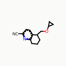 N#Cc1ccc2c(n1)CCCC2COC1CC1